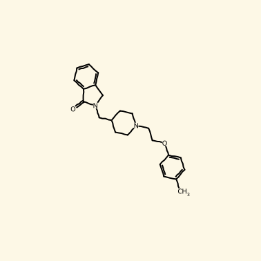 Cc1ccc(OCCN2CCC(CN3Cc4ccccc4C3=O)CC2)cc1